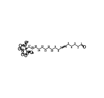 O=[C]CCCCC#CCCCCCCCCCCC([N+](=O)[O-])([N+](=O)[O-])[N+](=O)[O-]